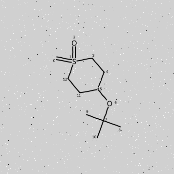 C=S1(=O)CCC(OC(C)(C)C)CC1